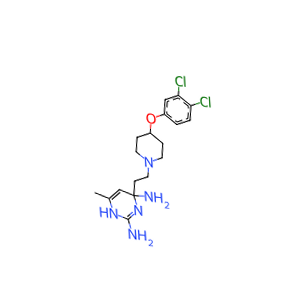 CC1=CC(N)(CCN2CCC(Oc3ccc(Cl)c(Cl)c3)CC2)N=C(N)N1